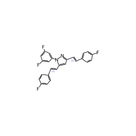 Fc1ccc(/C=C/c2cc(/C=C/c3ccc(F)cc3)n(-c3cc(F)cc(F)c3)n2)cc1